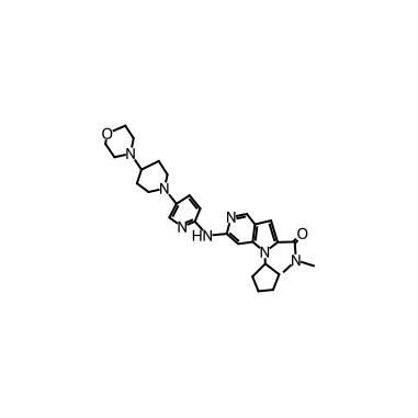 CN(C)C(=O)c1cc2cnc(Nc3ccc(N4CCC(N5CCOCC5)CC4)cn3)cc2n1C1CCCC1